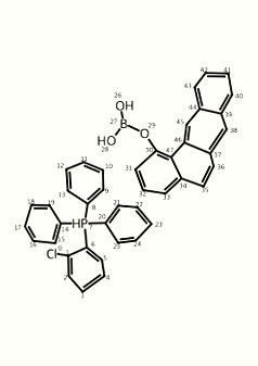 Clc1ccccc1[PH](c1ccccc1)(c1ccccc1)c1ccccc1.OB(O)Oc1cccc2ccc3cc4ccccc4cc3c12